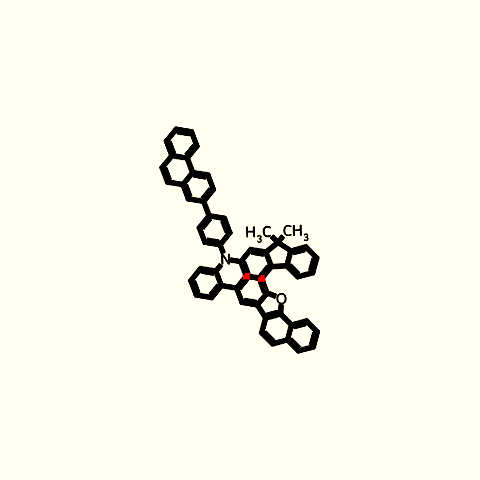 CC1(C)c2ccccc2-c2ccc(N(c3ccc(-c4ccc5c(ccc6ccccc65)c4)cc3)c3ccccc3-c3ccc4oc5c6ccccc6ccc5c4c3)cc21